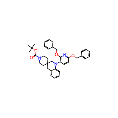 CC(C)(C)OC(=O)N1CCC2(CC1)Cc1ccccc1N(c1ccc(OCc3ccccc3)nc1OCc1ccccc1)C2